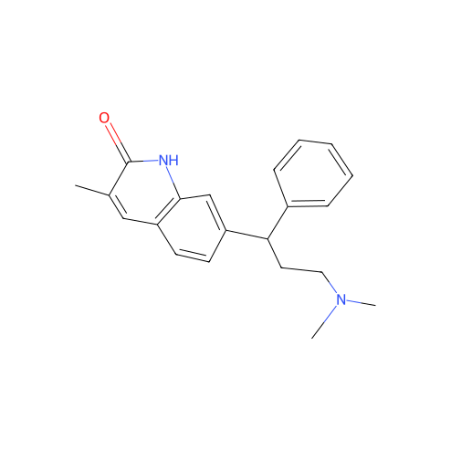 Cc1cc2ccc(C(CCN(C)C)c3ccccc3)cc2[nH]c1=O